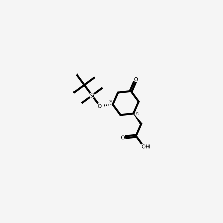 CC(C)(C)[Si](C)(C)O[C@@H]1CC(=O)C[C@@H](CC(=O)O)C1